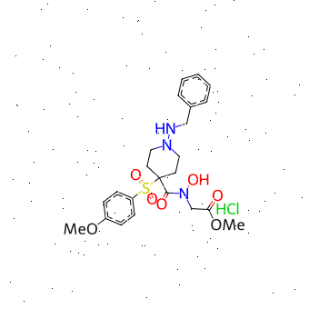 COC(=O)CN(O)C(=O)C1(S(=O)(=O)c2ccc(OC)cc2)CCN(NCc2ccccc2)CC1.Cl